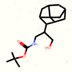 CC(C)(C)OC(=O)NCC(CO)C1C2CC3CC(C2)CC1C3